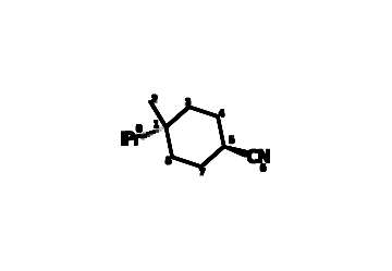 CC(C)[C@]1(C)CC[C@@H](C#N)CC1